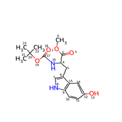 COC(=O)C(Cc1c[nH]c2ccc(O)cc12)NC(=O)OC(C)(C)C